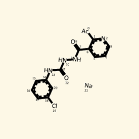 CC(=O)c1ncccc1C(=O)NNC(=O)Nc1cccc(Cl)c1.[Na]